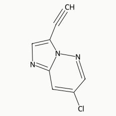 C#Cc1cnc2cc(Cl)cnn12